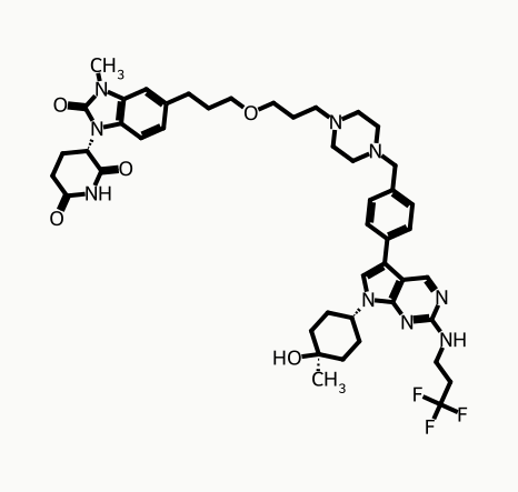 Cn1c(=O)n([C@H]2CCC(=O)NC2=O)c2ccc(CCCOCCCN3CCN(Cc4ccc(-c5cn([C@H]6CC[C@](C)(O)CC6)c6nc(NCCC(F)(F)F)ncc56)cc4)CC3)cc21